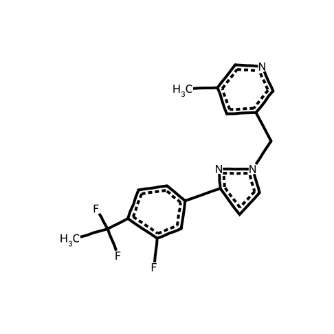 Cc1cncc(Cn2ccc(-c3ccc(C(C)(F)F)c(F)c3)n2)c1